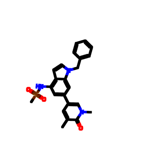 Cc1cc(-c2cc(NS(C)(=O)=O)c3ccn(Cc4ccccc4)c3c2)cn(C)c1=O